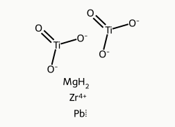 [MgH2].[O]=[Ti]([O-])[O-].[O]=[Ti]([O-])[O-].[Pb].[Zr+4]